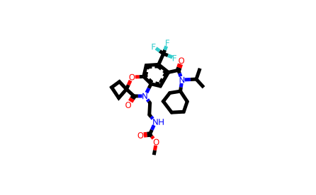 COC(=O)NCCN1C(=O)C2(CCC2)Oc2cc(C(F)(F)F)c(C(=O)N(C(C)C)C3CCCCC3)cc21